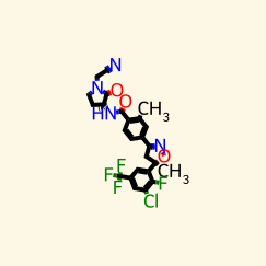 Cc1cc(C2=NOC(C)(c3cc(C(F)(F)F)cc(Cl)c3F)C2)ccc1C(=O)N[C@@H]1CCN(CC#N)C1=O